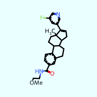 COCCNC(=O)c1ccc2c(c1)CCC1C2CCC2(C)C(c3cncc(F)c3)=CCC12